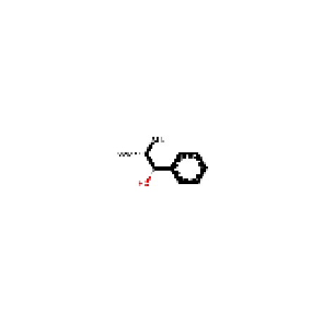 CN[C@H](C)[C@@H](O)c1ccccc1